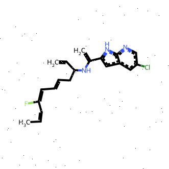 C=CC(C/C=C/C=C(F)\C=C/C)NC(=C)c1cc2cc(Cl)cnc2[nH]1